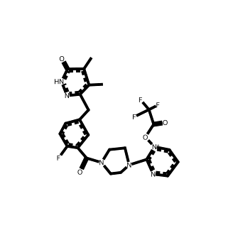 Cc1c(Cc2ccc(F)c(C(=O)N3CCN(c4nccc[n+]4OC(=O)C(F)(F)F)CC3)c2)n[nH]c(=O)c1C